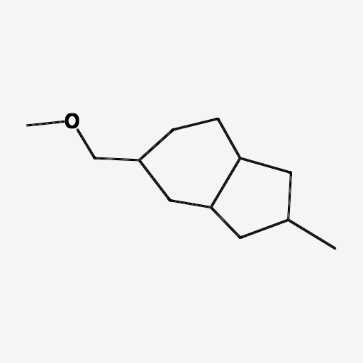 COCC1CCC2CC(C)CC2C1